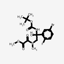 COC(=O)C(=O)N(C)CC(C)(NC(=O)OC(C)(C)C)c1cc(Br)ccc1F